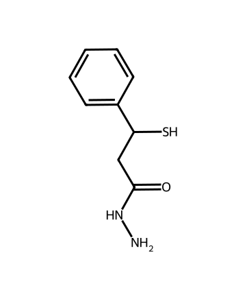 NNC(=O)CC(S)c1ccccc1